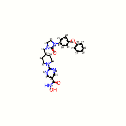 O=C(NO)c1cnc(N2CCC(CN3CCN(c4ccc(Oc5ccccc5)cc4)C3=O)CC2)nc1